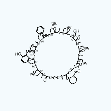 COc1cc(C[C@@H]2NC(=O)[C@H](CC(C)C)N(C)C(=O)CCCN(C)C(=O)C[C@@H](C(=O)N3CCCCC3)NC(=O)[C@H](CC(C)C)N(C)C(=O)[C@H](CC(C)C)N(C)C(=O)[C@H]([C@@H](C)O)NC(=O)[C@H](CC(C)C)N(C)C(=O)[C@H](COC(C)(C)C)NC(=O)[C@H](Cc3ccccc3)N(C)C(=O)[C@H](CC(C)C)N(C)C2=O)ccc1O